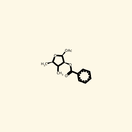 CC(=O)O[C@@H]1O[C@H](C)C(C)[C@@H]1OC(=O)c1ccccc1